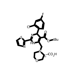 CC(C)(C)OC(=O)C1=C(CN2CCOC[C@H]2C(=O)O)NC(c2nccs2)=NC1c1ccc(F)cc1Cl